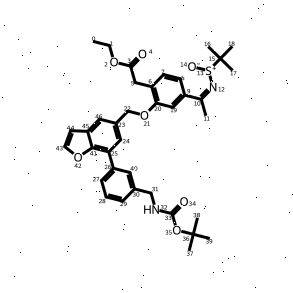 CCOC(=O)Cc1ccc(/C(C)=N\[S+]([O-])C(C)(C)C)cc1OCc1cc(-c2cccc(CNC(=O)OC(C)(C)C)c2)c2occc2c1